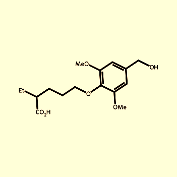 CCC(CCCOc1c(OC)cc(CO)cc1OC)C(=O)O